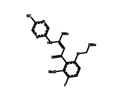 COCOc1ccc(F)c(OC)c1C(=O)C=C(Nc1cnc(C#N)cn1)SC